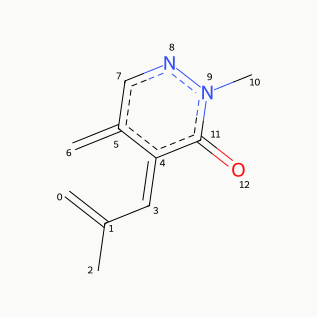 C=C(C)/C=c1\c(=C)cnn(C)c1=O